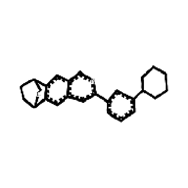 c1cc(-c2cc3cc4c(cc3cn2)C2CCC4CC2)cc(C2CCCCC2)c1